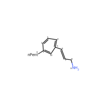 CCCCCc1cccc(C=CCN)c1